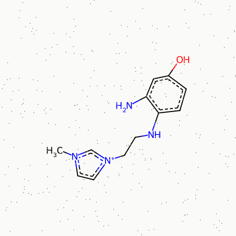 Cn1cc[n+](CCNc2ccc(O)cc2N)c1